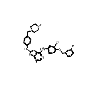 CN1CCN(Cc2ccc(Nc3nc4ncnc(Nc5ccc(OCc6cccc(F)c6)c(Cl)c5)c4s3)cc2)CC1